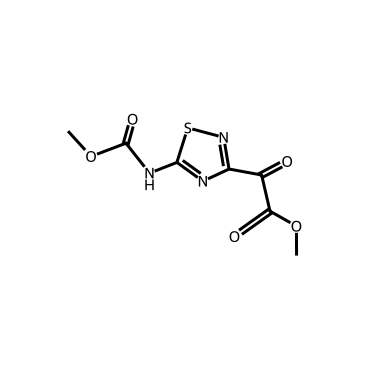 COC(=O)Nc1nc(C(=O)C(=O)OC)ns1